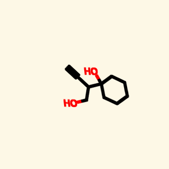 C#CC(CO)C1(O)CCCCC1